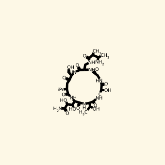 CC(C)C1CC(=O)C(CO)NC(=O)C(CNC(=O)C(C)C(C)N)NC(=O)CNC(=O)C(O)CNC(=O)C(C(C)O)NC(=O)C(C(O)C(O)C(N)=O)NC1=O